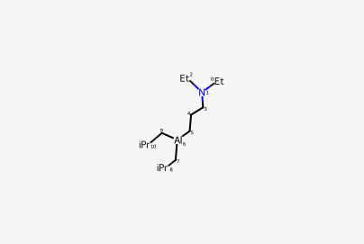 CCN(CC)CC[CH2][Al]([CH2]C(C)C)[CH2]C(C)C